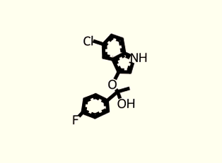 CC(O)(Oc1c[nH]c2ccc(Cl)cc12)c1ccc(F)cc1